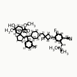 COC(=O)N[C@H]1CCC[C@@H]1[C@](CN1CCC(C)(O)CC1)(c1cccc(F)c1)C1CCN(CC2(F)CN(c3cc(CN(C)C)c(C#N)cc3F)C2)CC1